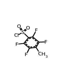 Cc1c(F)c(F)c(S(=O)(=O)Cl)c(F)c1F